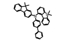 CC1(C)c2ccccc2-c2ccc(N(c3ccc(-c4ccccc4)cc3)c3cccc4c3-c3ccccc3[Si]4(C)C)cc21